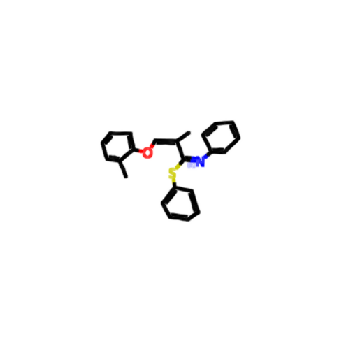 CC(=COc1ccccc1C)/C(=N\c1ccccc1)Sc1ccccc1